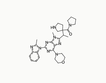 Cc1nc2ccccc2n1-c1nc(N2CCOCC2)c2nc(C(C)C3(C(=O)N4CCCC4)CCNC3)n(C)c2n1